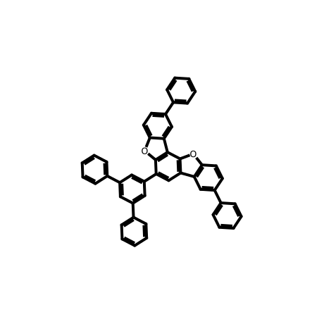 c1ccc(-c2cc(-c3ccccc3)cc(-c3cc4c5cc(-c6ccccc6)ccc5oc4c4c3oc3ccc(-c5ccccc5)cc34)c2)cc1